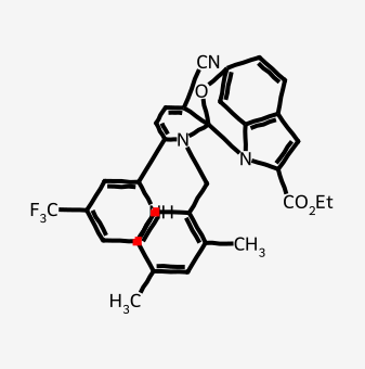 CCOC(=O)c1cc2ccc3cc2n1C1(O3)C(C#N)=CC=C(C2=CC(C(F)(F)F)=CCN2)N1Cc1ccc(C)cc1C